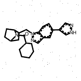 O=C(C1CCCCC1)N1C2CCC1C(Cn1ncc3cc(-c4cn[nH]c4)ccc31)C2